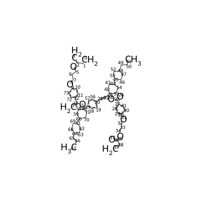 C=CC(=C)OCCCOc1ccc(C(=C)OC2(c3ccc(C#CC4(OC(=O)c5ccc(OCCCOC(=O)C=C)cc5)CCC(C5CCC(CCC)CC5)CC4)cc3)CCC(C3CCC(CCC)CC3)CC2)cc1